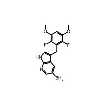 Bc1cnc2[nH]cc(Cc3c(F)c(OC)cc(OC)c3F)c2c1